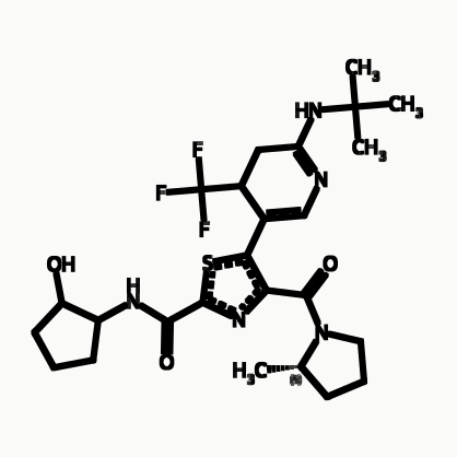 C[C@H]1CCCN1C(=O)c1nc(C(=O)NC2CCCC2O)sc1C1=CN=C(NC(C)(C)C)CC1C(F)(F)F